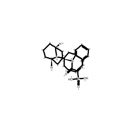 O=c1c(P(=O)(O)O)nc2ccccc2n1[C@@H]1C[C@H]2CCC[C@@H](C1)N2C1CCCCCCC1